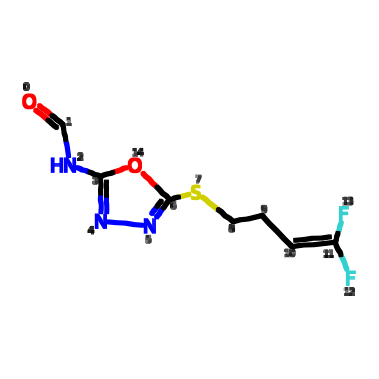 O=CNc1nnc(SCCC=C(F)F)o1